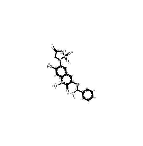 C[C@@H](Nc1cc2cc(N3CC(=O)NS3(=O)=O)c(O)cc2n(C)c1=O)c1ccccc1